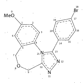 COc1ccc2c(c1)COCc1nnc(-c3ccc(Br)cc3)n1-2